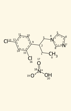 CCC(Cn1ccnc1)c1ccc(Cl)cc1Cl.O=[N+]([O-])O